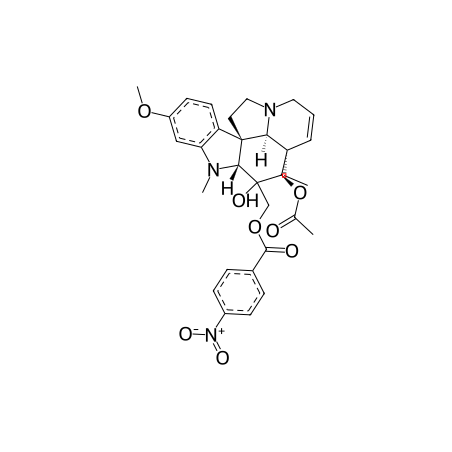 CC[C@]12C=CCN3CC[C@@]4(c5ccc(OC)cc5N(C)[C@H]4C(O)(COC(=O)c4ccc([N+](=O)[O-])cc4)[C@@H]1OC(C)=O)[C@@H]32